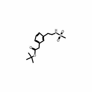 CC(C)(C)OC(=O)Cc1cccc(CCNS(C)(=O)=O)c1